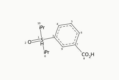 CC(C)[SH](=O)(c1cccc(C(=O)O)c1)C(C)C